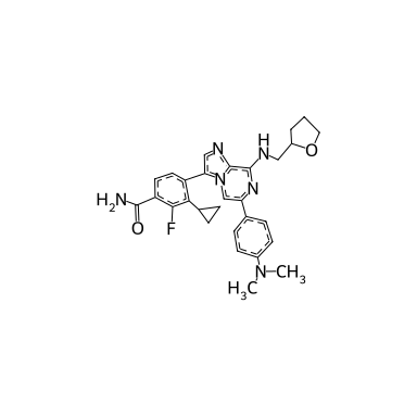 CN(C)c1ccc(-c2cn3c(-c4ccc(C(N)=O)c(F)c4C4CC4)cnc3c(NCC3CCCO3)n2)cc1